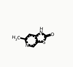 Cc1cc2[nH]c(=O)sc2cn1